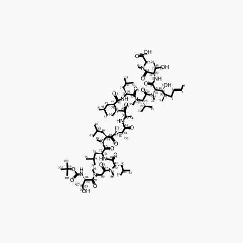 CC=CC[C@@H](C)[C@@H](O)[C@@H](C(=O)N[C@H](C(=O)N(C)CC(=O)O)[C@@H](C)O)N(C)C(=O)[C@H](C(C)C)N(C)C(=O)[C@H](CC(C)C)NC(=O)[C@H](CC(C)C)N(C)C(=O)[C@@H](C)NC(=O)[C@H](C)NC(=O)[C@H](CC(C)C)N(C)C(=O)[C@H](CC(C)C)NC(=O)[C@H](CC(C)C)N(C)C(=O)CN(C)C(=O)[C@@H](NC(=O)OC(C)(C)C)[C@@H](C)O